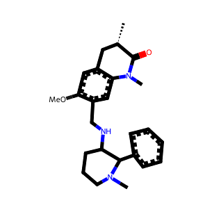 COc1cc2c(cc1CNC1CCCN(C)C1c1ccccc1)N(C)C(=O)[C@@H](C)C2